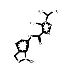 Cc1c(C(=O)Nc2ccc3c(c2)B(O)OC3)nnn1C(C)C